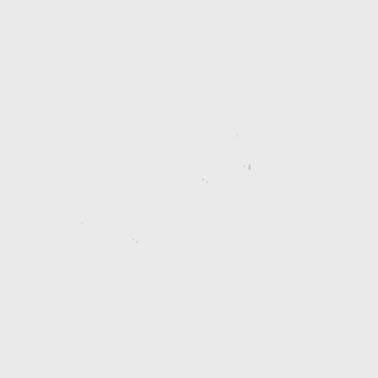 CN(C)c1cnccc1-c1ccc(NC(=O)C(NC(=O)O)C(c2ccccc2)c2ccccc2)cc1